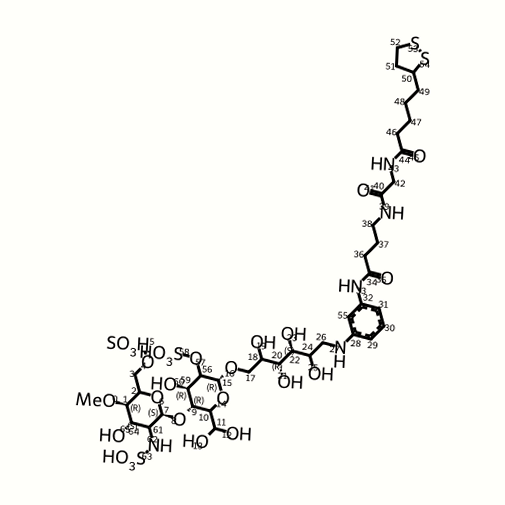 CO[C@H]1C(COS(=O)(=O)O)O[C@@H](O[C@H]2C(C(O)O)O[C@@H](OCC(O)[C@@H](O)[C@@H](O)C(O)CNc3cccc(NC(=O)CCCNC(=O)CNC(=O)CCCCC4CCSS4)c3)C(OS(=O)(=O)O)[C@@H]2O)C(NS(=O)(=O)O)[C@@H]1O